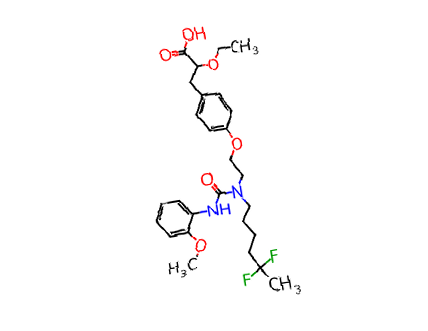 CCOC(Cc1ccc(OCCN(CCCCC(C)(F)F)C(=O)Nc2ccccc2OC)cc1)C(=O)O